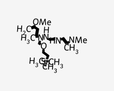 C=C(/C=C(\C)N(COCC[Si](C)(C)C)NCCN/C=C(\C)NC)OC